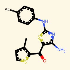 CC(=O)c1ccc(Nc2nc(N)c(C(=O)c3sccc3C)s2)cc1